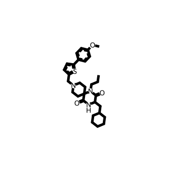 CCCN1C(=O)C(CC2CCCCC2)NC(=O)C12CCN(Cc1ccc(-c3ccc(OC)cc3)s1)CC2